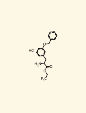 Cl.N[C@@H](Cc1cccc(OCc2ccccc2)c1)C(=O)OCC(F)(F)F